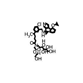 CC(CCCC(=O)N(CCOCCO)CC(O)C(O)C(O)C(O)CO)c1ccc(Cl)c(CNC2(c3cnccc3-c3ccccc3OC3CC3)CC2)c1